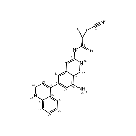 N#CC1C[C@@H]1C(=O)Nc1cc2cc(-c3ccnc4ccccc34)cc(N)c2cn1